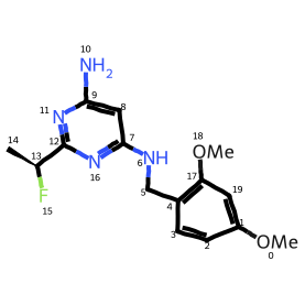 COc1ccc(CNc2cc(N)nc([C@H](C)F)n2)c(OC)c1